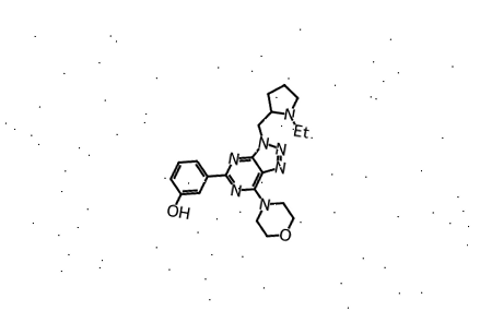 CCN1CCCC1Cn1nnc2c(N3CCOCC3)nc(-c3cccc(O)c3)nc21